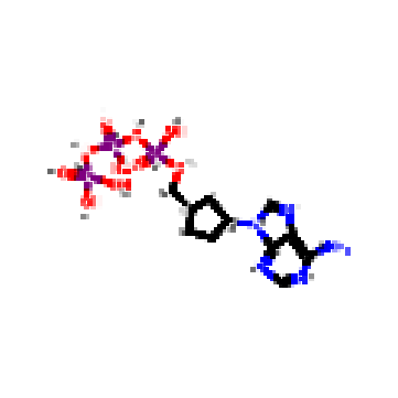 Nc1ncnc2c1ncn2[C@H]1CC[C@@H](COP(=O)(O)OP(=O)(O)OP(=O)(O)O)C1